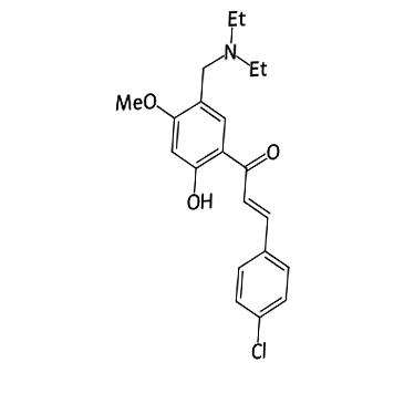 CCN(CC)Cc1cc(C(=O)/C=C/c2ccc(Cl)cc2)c(O)cc1OC